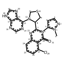 Cn1nccc1-n1c(C2CSCN2c2ncnc3[nH]cnc23)nc2cccc(Cl)c2c1=O